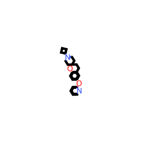 c1ccc(Oc2ccc3c(c2)CCC2(CCN(C4CCC4)CC2)O3)nc1